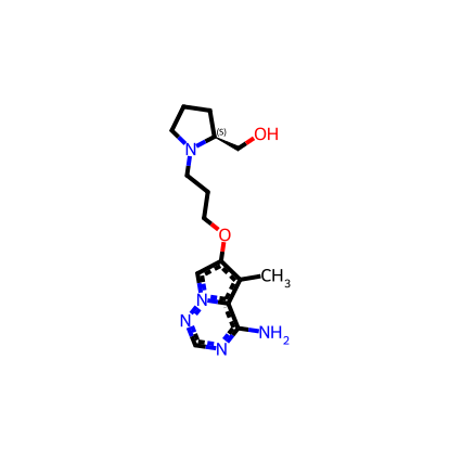 Cc1c(OCCCN2CCC[C@H]2CO)cn2ncnc(N)c12